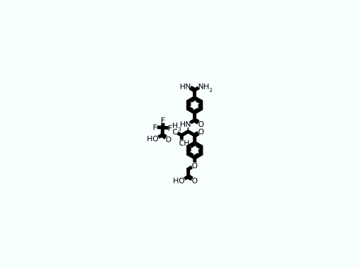 CC(C)[C@H](NC(=O)c1ccc(C(=N)N)cc1)C(=O)c1ccc(OCC(=O)O)cc1.O=C(O)C(F)(F)F